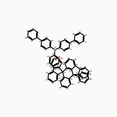 c1ccc(-c2ccc(N(c3ccc(-c4ccccc4)cc3)c3ccc(-c4ccccc4C4(c5ccccc5)c5ccccc5C5(c6ccccc6)c6ccccc6-c6cccc4c65)cc3)cc2)cc1